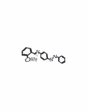 COc1ccccc1/C=N/c1ccc(/N=N/c2ccccc2)cc1